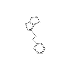 c1ccc(CSc2csc3ccsc23)cc1